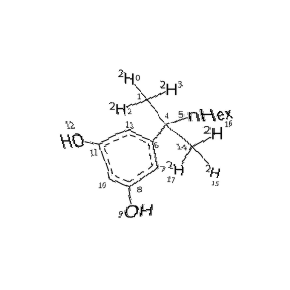 [2H]C([2H])([2H])C(CCCCCC)(c1cc(O)cc(O)c1)C([2H])([2H])[2H]